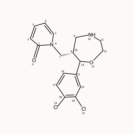 O=c1ccccn1C[C@@H]1CNCCOC1c1ccc(Cl)c(Cl)c1